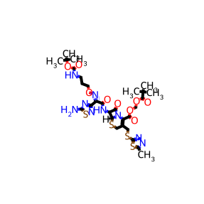 Cc1nnc(SCC2=C(C(=O)OCOC(=O)C(C)(C)C)N3C(=O)C(NC(=O)/C(=N/OCCCNC(=O)OC(C)(C)C)c4nsc(N)n4)[C@H]3SC2)s1